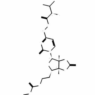 COC(=O)OCC[C@H]1O[C@@H](n2ccc(NOC(=O)[C@H](N)C(C)C)nc2=O)[C@@H]2OC(=O)O[C@@H]21